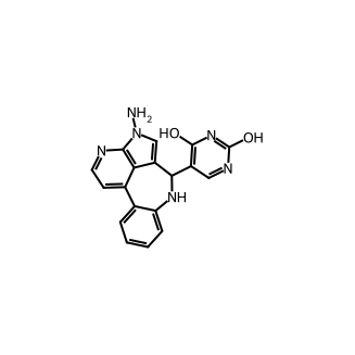 Nn1cc2c3c(ccnc31)-c1ccccc1NC2c1cnc(O)nc1O